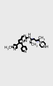 C=N/C(=C\C=C(/C)N1CCNCC1)Nc1ncc2cc(-c3cnn(C)c3)c(-c3ccncc3)n2n1